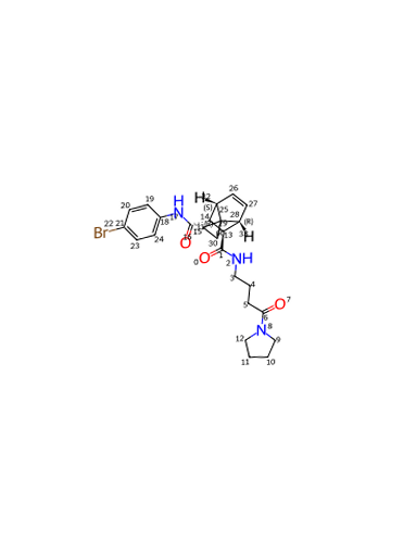 O=C(NCCCC(=O)N1CCCC1)[C@H]1[C@H](C(=O)Nc2ccc(Br)cc2)[C@@H]2C=C[C@H]1C21CC1